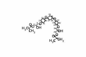 C=C(C)C(=O)OCC(O)COc1ccc(Oc2ccc(Oc3ccc(OCC(O)COC(=O)C(=C)C)cc3)cc2)cc1